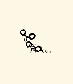 CCCC(N1CCC(OC(c2ccccc2)c2ccccc2)CC1)C1(C(C)(C)C)C=CC(C(=O)O)C=C1